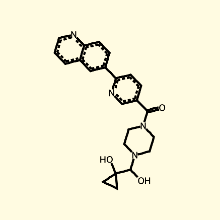 O=C(c1ccc(-c2ccc3ncccc3c2)nc1)N1CCN(C(O)C2(O)CC2)CC1